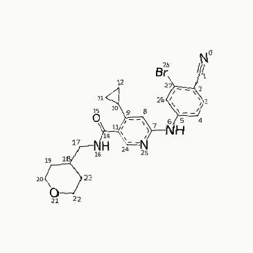 N#Cc1ccc(Nc2cc(C3CC3)c(C(=O)NCC3CCOCC3)cn2)cc1Br